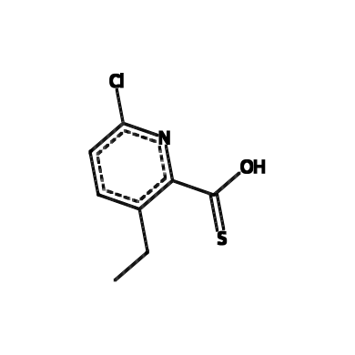 CCc1ccc(Cl)nc1C(O)=S